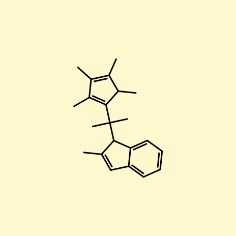 CC1=Cc2ccccc2C1C(C)(C)C1=C(C)C(C)=C(C)C1C